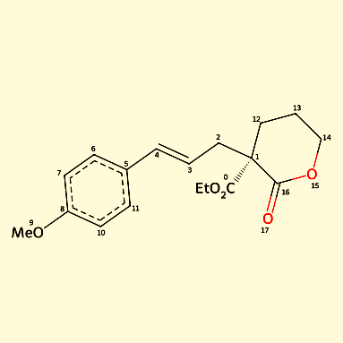 CCOC(=O)[C@]1(C/C=C/c2ccc(OC)cc2)CCCOC1=O